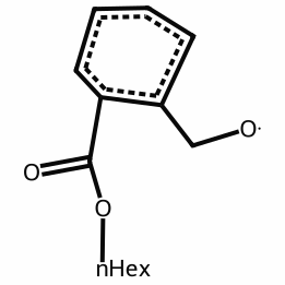 CCCCCCOC(=O)c1ccccc1C[O]